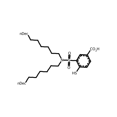 CCCCCCCCCCCCCCCCN(CCCCCCCCCCCCCCCC)S(=O)(=O)c1cc(C(=O)O)ccc1S